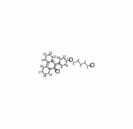 ClCCCCCOc1ccc(C(=C(Cl)c2ccccc2)c2ccccc2)cc1